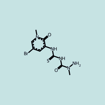 CN(N)C(=O)NC(=S)Nc1cc(Br)cn(C)c1=O